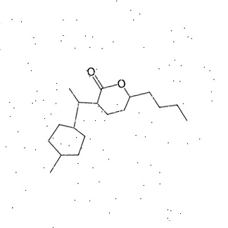 CCCCC1CCC(C(C)C2CCC(C)CC2)C(=O)O1